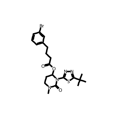 CN1CCC(OC(=O)CCCc2cccc(Br)c2)N(c2nnc(C(C)(C)C)s2)C1=O